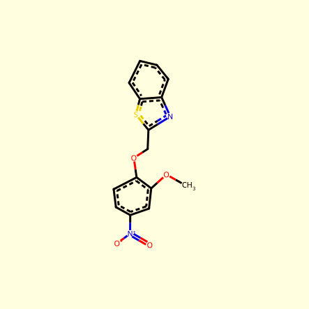 COc1cc([N+](=O)[O-])ccc1OCc1nc2ccccc2s1